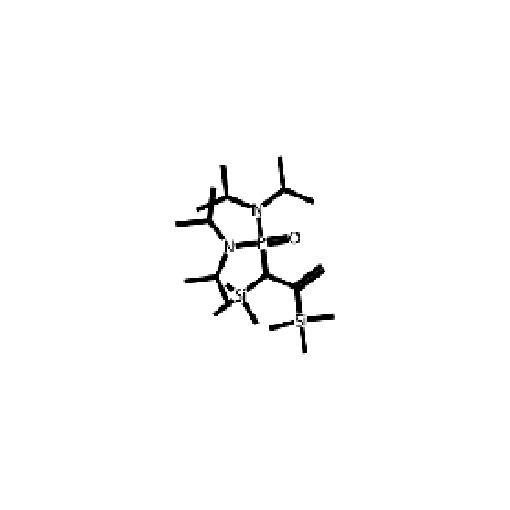 C=C(C([Si](C)(C)C)P(=O)(N(C(C)C)C(C)C)N(C(C)C)C(C)C)[Si](C)(C)C